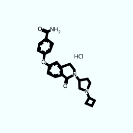 Cl.NC(=O)c1ccc(Oc2ccc3c(c2)CCN(C2CCN(C4CCC4)C2)C3=O)cc1